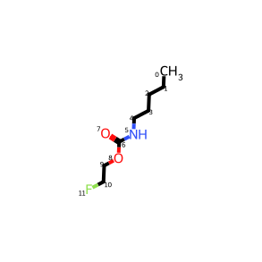 CCCCCNC(=O)OCCF